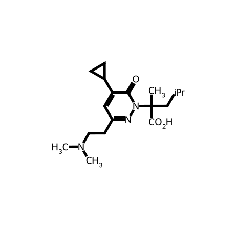 CC(C)CC(C)(C(=O)O)n1nc(CCN(C)C)cc(C2CC2)c1=O